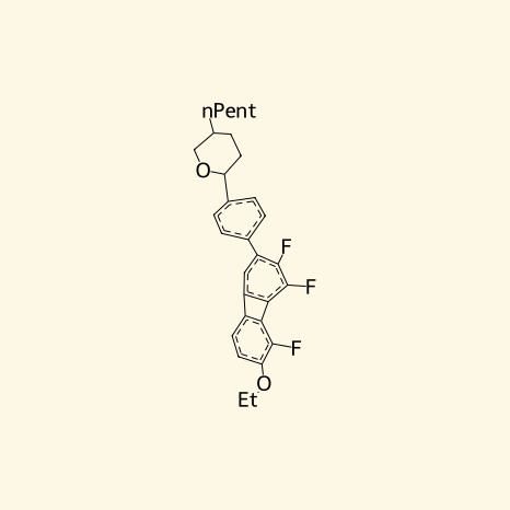 CCCCCC1CCC(c2ccc(-c3cc4c(c(F)c3F)-c3c-4ccc(OCC)c3F)cc2)OC1